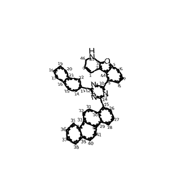 C1=Cc2c(oc3cccc(-c4nc(-c5ccc6ccccc6c5)nc(-c5cccc6c5ccc5c7ccccc7ccc65)n4)c23)NC1